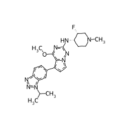 COc1nc(N[C@H]2CCN(C)C[C@H]2F)nn2ccc(-c3ccc4nnn(C(C)C)c4c3)c12